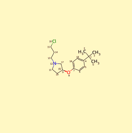 CC(C)(C)c1ccc(O[C@H]2CCN(CCCCl)C2)cc1